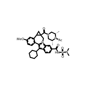 COc1ccc2c(c1)C1CC1(C(=O)N1C[C@@H](C)N(C(C)=O)[C@@H](C)C1)Cn1c-2c(C2CCCCC2)c2ccc(C(=O)NS(=O)(=O)N(C)C)cc21